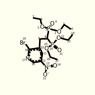 CCOP(=O)(OCC)C(Cc1cc([N+](=O)[O-])cnc1Br)P(=O)(OCC)OCC